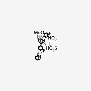 COc1cc(F)c([N+](=O)[O-])cc1Nc1ncc(-c2ccc(OCc3ccccn3)c(F)c2)c(N)n1.CS(=O)(=O)O